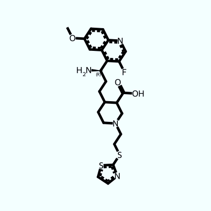 COc1ccc2ncc(F)c([C@H](N)CCC3CCN(CCSc4nccs4)CC3C(=O)O)c2c1